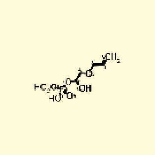 C=CCOCC(O)OP(=O)(O)C(=O)O